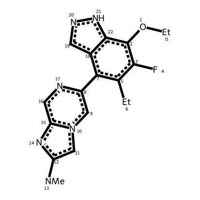 CCOc1c(F)c(CC)c(-c2cn3cc(NC)nc3cn2)c2cn[nH]c12